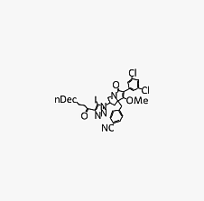 CCCCCCCCCCCCC(=O)c1nnn(C2CN3C(=O)C(c4cc(Cl)cc(Cl)c4)=C(OC)C3(Cc3ccc(C#N)cc3)C2)c1I